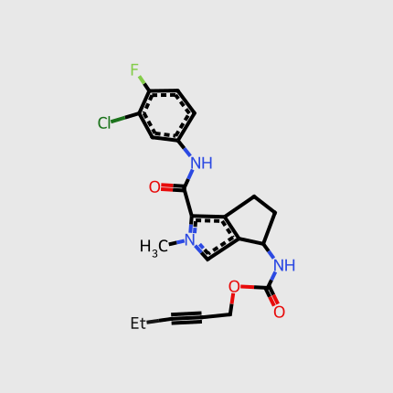 CCC#CCOC(=O)NC1CCc2c1cn(C)c2C(=O)Nc1ccc(F)c(Cl)c1